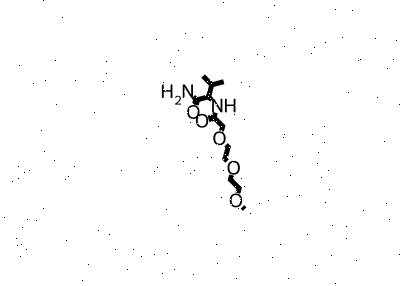 COCCOCCOCC(=O)NC(C(N)=O)C(C)C